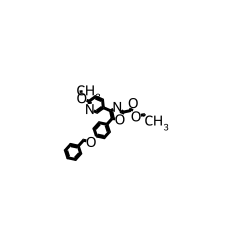 CCOC(=O)c1nc(-c2ccc(OC)nc2)c(-c2ccc(OCc3ccccc3)cc2)o1